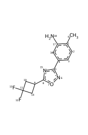 Cc1ccc(-c2noc(C3CC(F)(F)C3)n2)cc1N